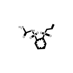 C=CCS(=O)(=O)c1ccccc1S(=O)(=O)NC(N)=O